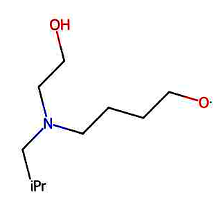 CC(C)CN(CCO)CCCC[O]